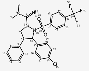 CN(C)C(=N)N1CC(c2ccccc2)C(c2ccc(Cl)cc2)N1S(=O)(=O)c1ccc(C(F)(F)F)cc1